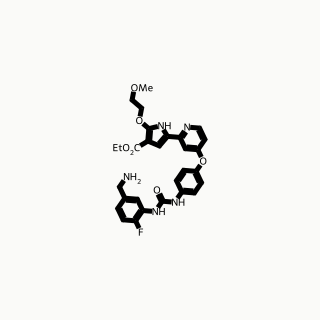 CCOC(=O)c1cc(-c2cc(Oc3ccc(NC(=O)Nc4cc(CN)ccc4F)cc3)ccn2)[nH]c1OCCOC